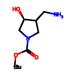 CC(C)(C)OC(=O)N1CC(CN)[C@H](O)C1